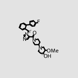 COC1CN(C2CCN(C(=O)c3cncn3[C@@H](C)c3ccccc3-c3ccc(F)cc3)CC2)CC[C@@H]1O